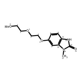 COCCOCCOc1ccc2[nH]c(=O)n(C)c2c1